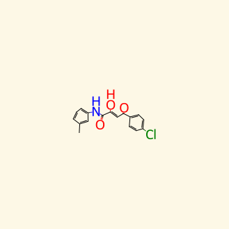 Cc1cccc(NC(=O)/C(O)=C/C(=O)c2ccc(Cl)cc2)c1